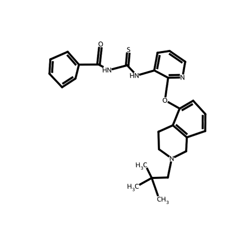 CC(C)(C)CN1CCc2c(cccc2Oc2ncccc2NC(=S)NC(=O)c2ccccc2)C1